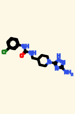 Nc1n[nH]c(N2CCC(CNC(=O)Nc3cccc(Cl)c3)CC2)n1